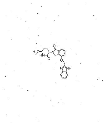 C=C1CCC(N2Cc3c(OCc4nc5ccccc5[nH]4)cccc3C2=O)C(=O)N1